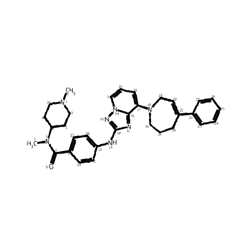 CN1CCC(N(C)C(=O)c2ccc(Nc3nc4c(N5CC=C(c6ccccc6)CCC5)cccn4n3)cc2)CC1